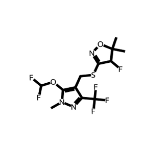 Cn1nc(C(F)(F)F)c(CSC2=NOC(C)(C)C2F)c1OC(F)F